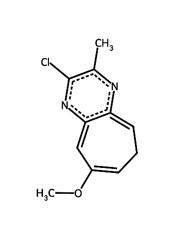 COC1=CCC=c2nc(C)c(Cl)nc2=C1